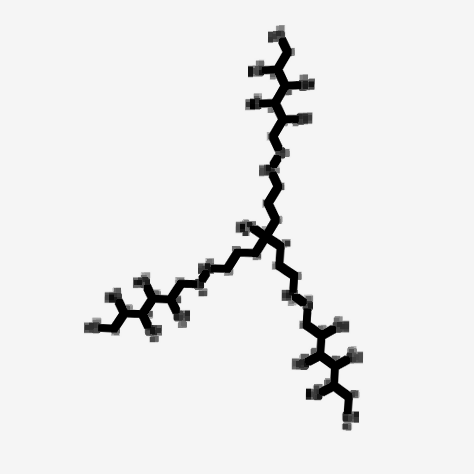 NC(CCCNOCC(O)C(O)C(O)C(O)CO)(CCCNOCC(O)C(O)C(O)C(O)CO)CCCNOCC(O)C(O)C(O)C(O)CO